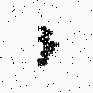 Oc1cc(F)cc(-c2cncc3[nH]c(-c4n[nH]c5ccc(-c6cncc(CN7CCC(F)(F)C7)c6)nc45)cc23)c1